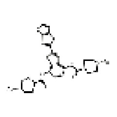 CC(=O)C1CCC(C(=O)Oc2ccc(OC(=O)C3CCC(C(C)=O)CC3)c3sc(-c4cc5occc5s4)nc23)CC1